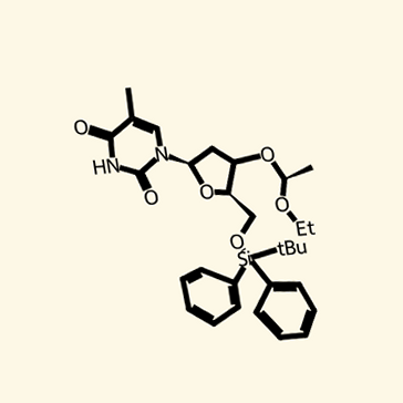 CCO[C@H](C)OC1C[C@H](n2cc(C)c(=O)[nH]c2=O)O[C@@H]1CO[Si](c1ccccc1)(c1ccccc1)C(C)(C)C